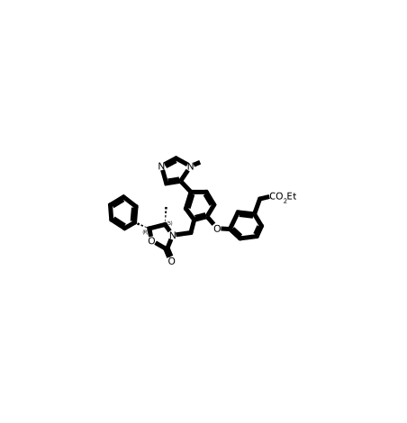 CCOC(=O)Cc1cccc(Oc2ccc(-c3cncn3C)cc2CN2C(=O)O[C@H](c3ccccc3)[C@@H]2C)c1